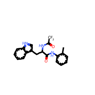 Cc1ccccc1NC(=O)C(Cc1c[nH]c2ccccc12)NC(=O)C(F)(F)F